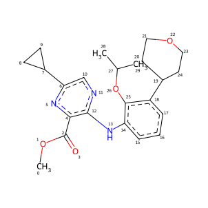 COC(=O)c1nc(C2CC2)cnc1Nc1cccc(C2CCOCC2)c1OC(C)C